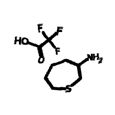 NC1CCCCSC1.O=C(O)C(F)(F)F